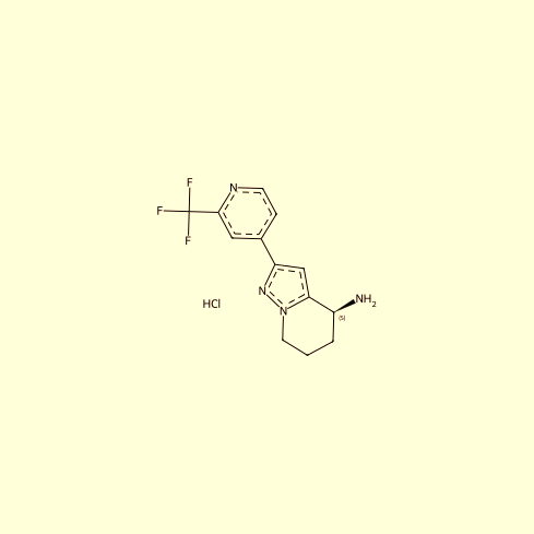 Cl.N[C@H]1CCCn2nc(-c3ccnc(C(F)(F)F)c3)cc21